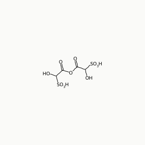 O=C(OC(=O)C(O)S(=O)(=O)O)C(O)S(=O)(=O)O